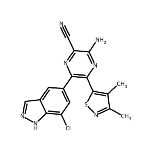 Cc1nsc(-c2nc(N)c(C#N)nc2-c2cc(Cl)c3[nH]ncc3c2)c1C